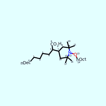 CCCCCCCCCCCCCCC(C(=O)O)C1CC(C)(C)N(OCCCCCCCC)C(C)(C)C1